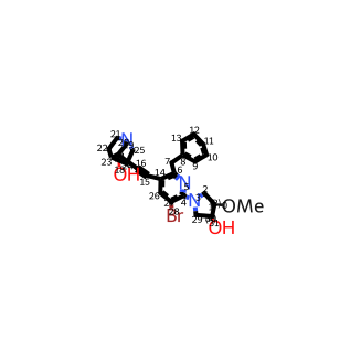 CO[C@@H]1CN(c2nc(Cc3ccccc3)c(C#C[C@@]3(O)CN4CCC3CC4)cc2Br)C[C@H]1O